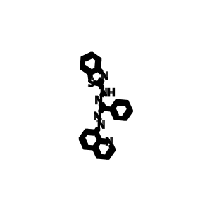 c1ccc(C(/N=N/c2cccc3cccnc23)=N\Nc2nc3ccccc3s2)cc1